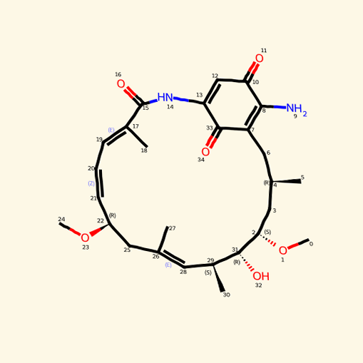 CO[C@H]1C[C@H](C)CC2=C(N)C(=O)C=C(NC(=O)/C(C)=C/C=C\[C@H](OC)C/C(C)=C/[C@H](C)[C@H]1O)C2=O